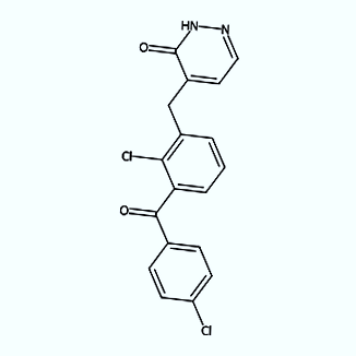 O=C(c1ccc(Cl)cc1)c1cccc(Cc2ccn[nH]c2=O)c1Cl